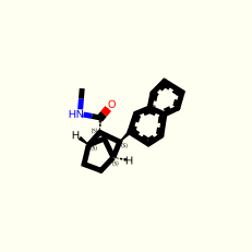 CNC(=O)[C@H]1[C@H]2CC[C@@H](C2)[C@@H]1c1ccc2ccccc2c1